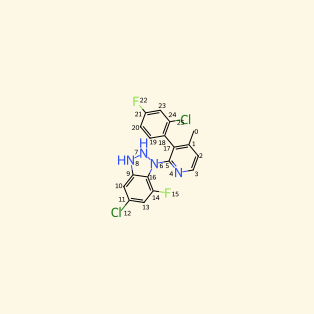 Cc1ccnc(N2NNc3cc(Cl)cc(F)c32)c1-c1ccc(F)cc1Cl